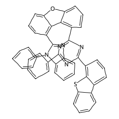 c1ccc(-c2nc(-c3cccc4c3sc3ccccc34)nc(-c3cccc4oc5cccc(-c6nc7ccccc7n6-c6ccccc6)c5c34)n2)cc1